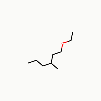 CCCC(C)CCOCC